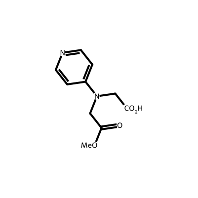 COC(=O)CN(CC(=O)O)c1ccncc1